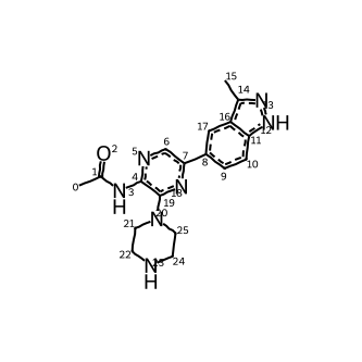 CC(=O)Nc1ncc(-c2ccc3[nH]nc(C)c3c2)nc1N1CCNCC1